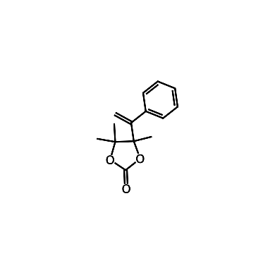 C=C(c1ccccc1)C1(C)OC(=O)OC1(C)C